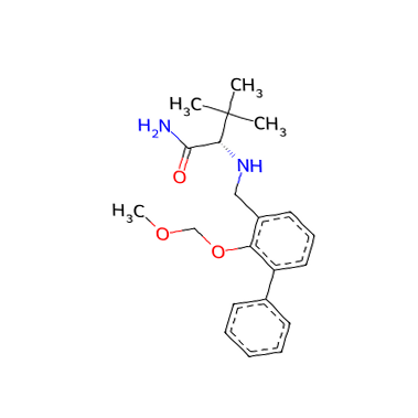 COCOc1c(CN[C@H](C(N)=O)C(C)(C)C)cccc1-c1ccccc1